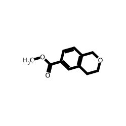 COC(=O)c1ccc2c(c1)CCOC2